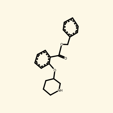 O=C(OCc1ccccc1)c1ccccc1OC1CCCNC1